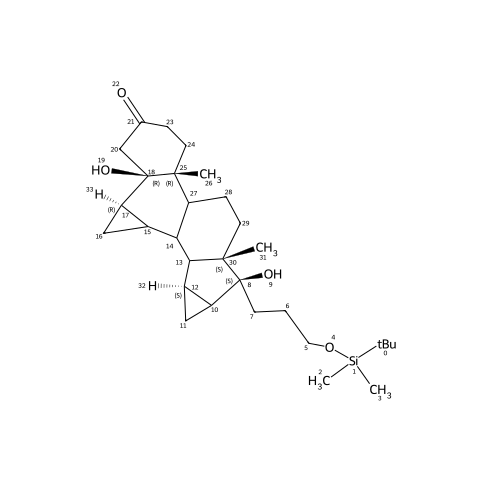 CC(C)(C)[Si](C)(C)OCCC[C@]1(O)C2C[C@H]2C2C3C4C[C@H]4[C@]4(O)CC(=O)CC[C@]4(C)C3CC[C@@]21C